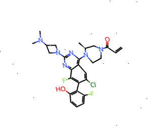 C=CC(=O)N1CCN(c2nc(N3CC(N(C)C)C3)nc3c(F)c(-c4c(O)cccc4F)c(Cl)cc23)[C@@H](C)C1